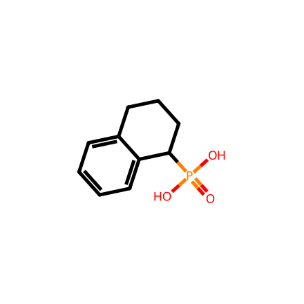 O=P(O)(O)C1CCCc2ccccc21